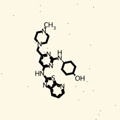 CN1CCN(Cc2cc(Nc3nc4cccnc4s3)nc(N[C@H]3CC[C@H](O)CC3)n2)CC1